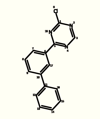 Clc1ncnc(-c2cccc(-c3ccccc3)c2)n1